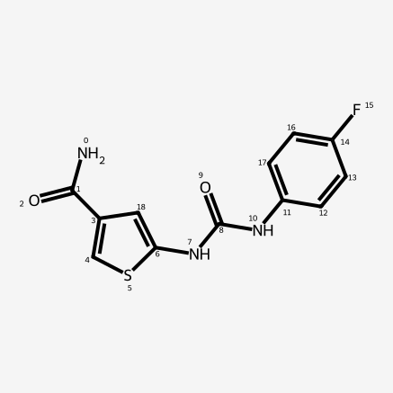 NC(=O)c1csc(NC(=O)Nc2ccc(F)cc2)c1